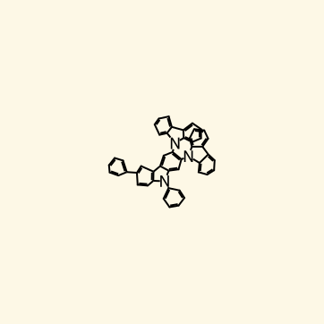 c1ccc(-c2ccc3c(c2)c2cc(-n4c5ccccc5c5ccccc54)c(-n4c5ccccc5c5ccccc54)cc2n3-c2ccccc2)cc1